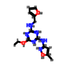 CCOc1nc(NCc2ccco2)nc(Nc2cc(C)on2)n1